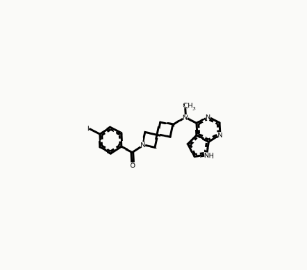 CN(c1ncnc2[nH]ccc12)C1CC2(C1)CN(C(=O)c1ccc(I)cc1)C2